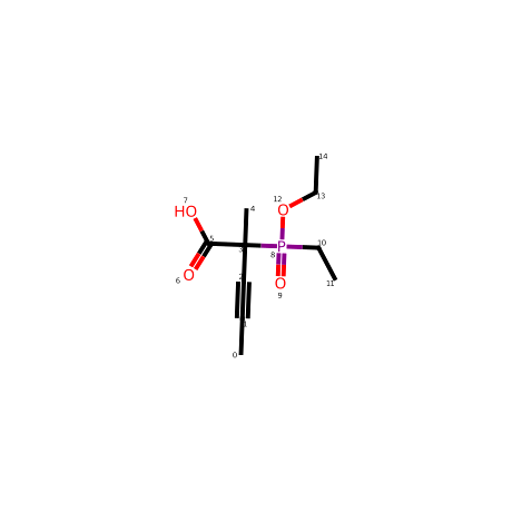 CC#CC(C)(C(=O)O)P(=O)(CC)OCC